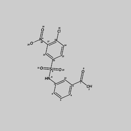 O=C(O)c1cccc(NS(=O)(=O)c2ccc(Cl)c([N+](=O)[O-])c2)c1